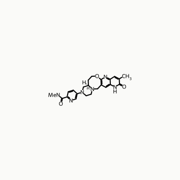 CNC(=O)c1ccc(N2CCN3Cc4cc5[nH]c(=O)c(C)cc5nc4OCC[C@@H]3C2)cn1